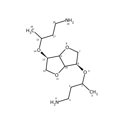 CC(CCN)O[C@@H]1COC2C1OC[C@H]2OC(C)CCN